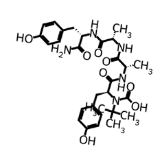 C[C@H](NC(=O)[C@H](C)NC(=O)[C@H](Cc1ccc(O)cc1)N(C(=O)O)C(C)(C)C)C(=O)N[C@@H](Cc1ccc(O)cc1)C(N)=O